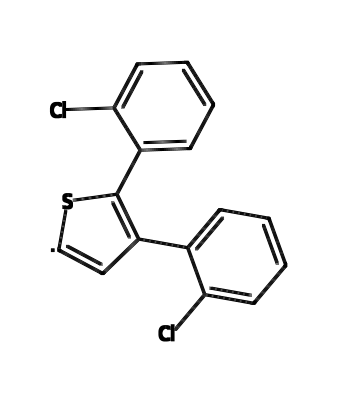 Clc1ccccc1-c1c[c]sc1-c1ccccc1Cl